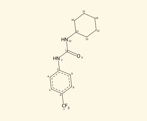 O=C(Nc1ccc(C(F)(F)F)cc1)NC1CCCCC1